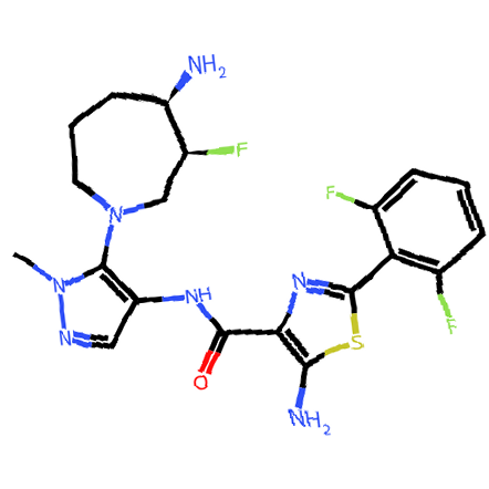 Cn1ncc(NC(=O)c2nc(-c3c(F)cccc3F)sc2N)c1N1CCC[C@@H](N)[C@@H](F)C1